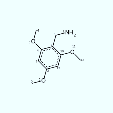 COc1cc(OC)c(CN)c(OC)c1